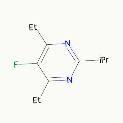 CCc1nc(C(C)C)nc(CC)c1F